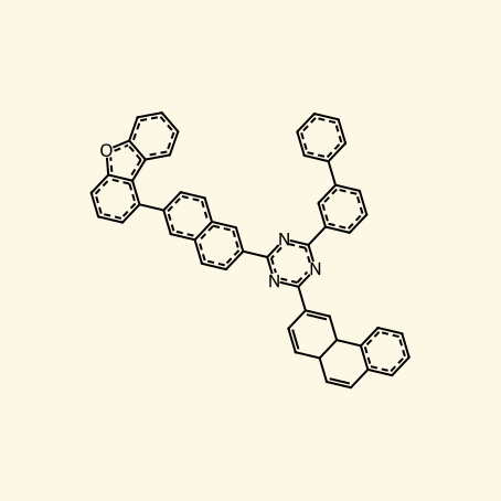 C1=CC2C=Cc3ccccc3C2C=C1c1nc(-c2cccc(-c3ccccc3)c2)nc(-c2ccc3cc(-c4cccc5oc6ccccc6c45)ccc3c2)n1